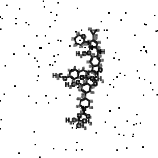 COc1ccc(CN(c2noc3cc(Nc4cc(C5CC5)n(C5CCCCO5)n4)c(OC)cc23)S(=O)(=O)c2c(OC)cc(C3=CCN(C(=O)OC(C)(C)C)CC3)cc2OC)cc1